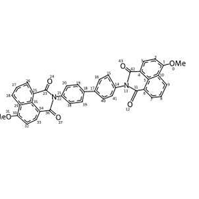 COc1ccc2c3c(cccc13)C(=O)N(c1ccc(-c3ccc(N4C(=O)c5cccc6c(OC)ccc(c56)C4=O)cc3)cc1)C2=O